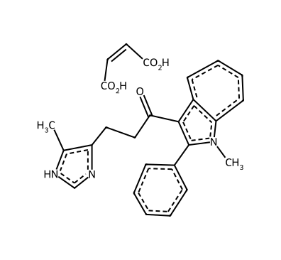 Cc1[nH]cnc1CCC(=O)c1c(-c2ccccc2)n(C)c2ccccc12.O=C(O)/C=C\C(=O)O